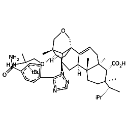 CC(C)[C@@H](C)[C@@]1(C)CC[C@]2(C)[C@H]3CC[C@@H]4[C@@]5(COC[C@@]4(C)[C@@H](OC[C@](C)(N)C(C)(C)C)[C@H](n4ncnc4-c4ccc(C(N)=O)cc4)C5)C3=CC[C@@]2(C)[C@@H]1C(=O)O